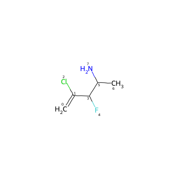 C=C(Cl)C(F)C(C)N